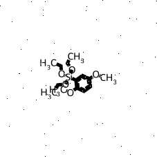 CCO[Si](OCC)(OCC)c1cc(OC)ccc1OC